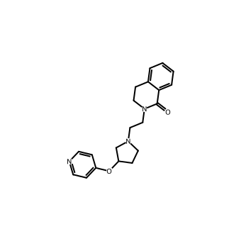 O=C1c2ccccc2CCN1CCN1CCC(Oc2ccncc2)C1